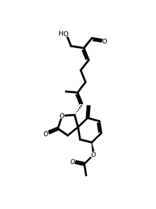 C=C1C=C[C@@H](OC(C)=O)CC12CC(=O)O[C@@H]2/C=C(\C)CC/C=C(/C=O)CO